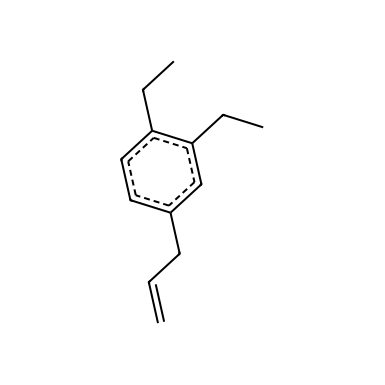 C=CCc1ccc(CC)c(CC)c1